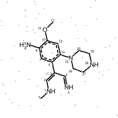 CN/C=C(\C=N)c1cc(N)c(OC)cc1N1CCNCC1